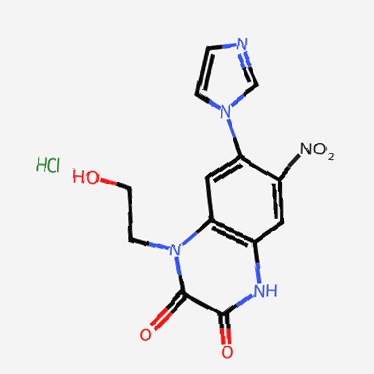 Cl.O=c1[nH]c2cc([N+](=O)[O-])c(-n3ccnc3)cc2n(CCO)c1=O